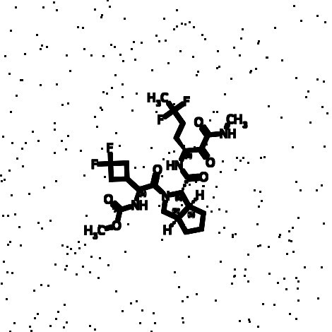 CNC(=O)C(=O)[C@H](CCC(C)(F)F)NC(=O)[C@@H]1[C@H]2CCC[C@H]2CN1C(=O)[C@@H](NC(=O)OC)C1CC(F)(F)C1